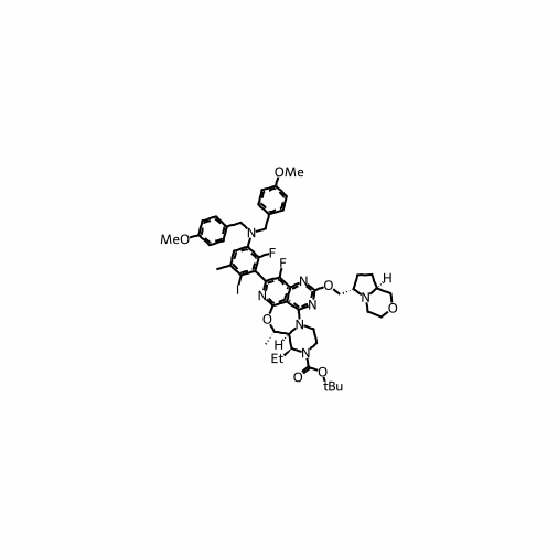 CC[C@H]1[C@H]2[C@H](C)Oc3nc(-c4c(F)c(N(Cc5ccc(OC)cc5)Cc5ccc(OC)cc5)cc(C)c4I)c(F)c4nc(OC[C@@H]5CC[C@H]6COCCN65)nc(c34)N2CCN1C(=O)OC(C)(C)C